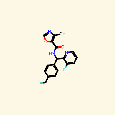 Cc1ncoc1C(=O)NC(c1ccc(CF)cc1)c1ncccc1F